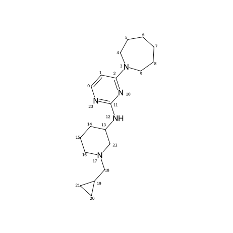 c1cc(N2CCCCCC2)nc(NC2CCCN(CC3CC3)C2)n1